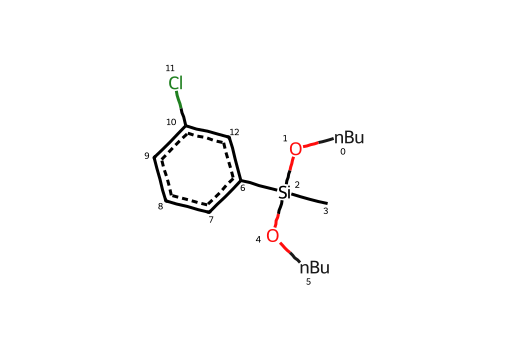 CCCCO[Si](C)(OCCCC)c1cccc(Cl)c1